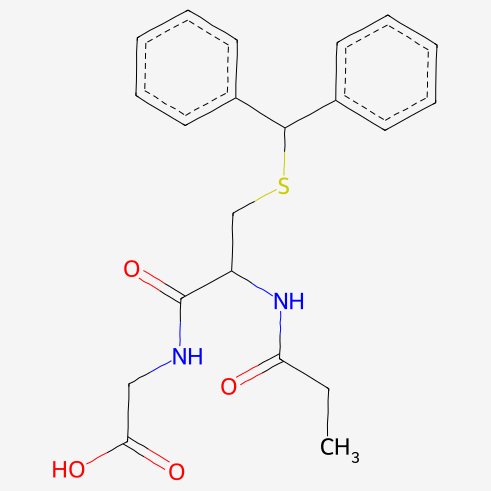 CCC(=O)NC(CSC(c1ccccc1)c1ccccc1)C(=O)NCC(=O)O